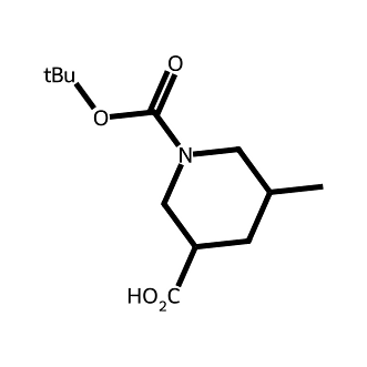 CC1CC(C(=O)O)CN(C(=O)OC(C)(C)C)C1